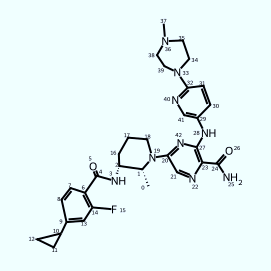 C[C@@H]1[C@H](NC(=O)c2ccc(C3CC3)cc2F)CCCN1c1cnc(C(N)=O)c(Nc2ccc(N3CCN(C)CC3)nc2)n1